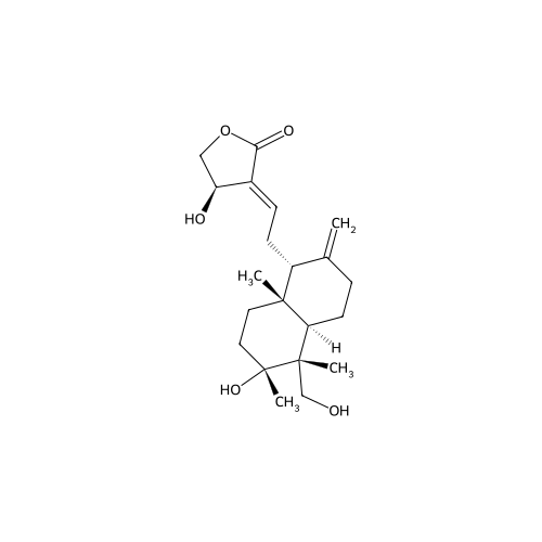 C=C1CC[C@@H]2[C@](C)(CC[C@@](C)(O)[C@@]2(C)CO)[C@@H]1C/C=C1/C(=O)OC[C@@H]1O